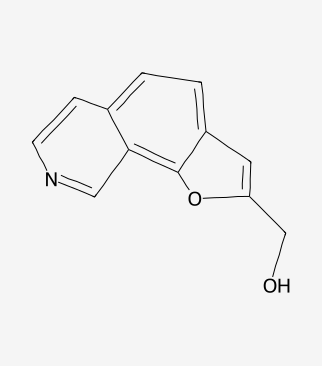 OCc1cc2ccc3ccncc3c2o1